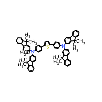 C=C(/C=C1\C(=C/C)C2=CCCC=C2C1(C)C)N(c1ccc(-c2ccc(-c3ccc(N(c4ccc5c(c4)C(C)(C)c4ccccc4-5)c4ccc5c(c4)C(C)(C)c4ccccc4-5)cc3)s2)cc1)c1ccc2c(c1)C(C)(C)c1ccccc1-2